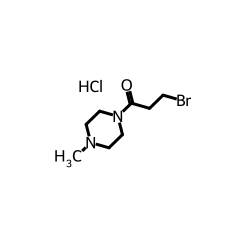 CN1CCN(C(=O)CCBr)CC1.Cl